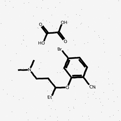 CCC(CCN(C)C)Oc1cc(Br)ccc1C#N.O=C(O)C(=O)O